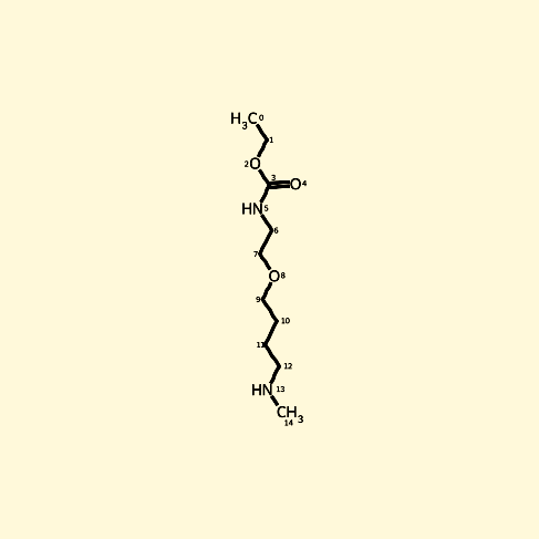 CCOC(=O)NCCOCCCCNC